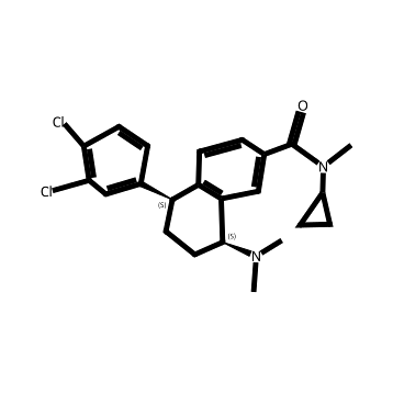 CN(C(=O)c1ccc2c(c1)[C@@H](N(C)C)CC[C@H]2c1ccc(Cl)c(Cl)c1)C1CC1